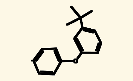 CC(C)(C)c1cccc(Oc2cc[c]cc2)c1